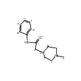 CN1CCN(CC(=O)Nc2ccccc2)CC1